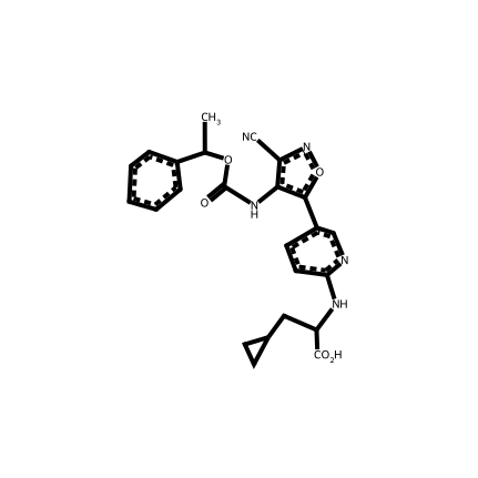 CC(OC(=O)Nc1c(C#N)noc1-c1ccc(NC(CC2CC2)C(=O)O)nc1)c1ccccc1